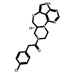 O=C(Cc1ccc(Cl)cc1)N1CCN2c3ncnc4[nH]cc(c34)OC[C@@H]2C1